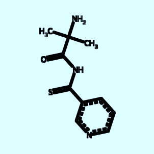 CC(C)(N)C(=O)NC(=S)c1cccnc1